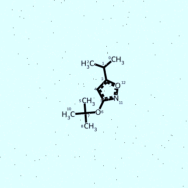 CC(C)c1cc(OC(C)(C)C)no1